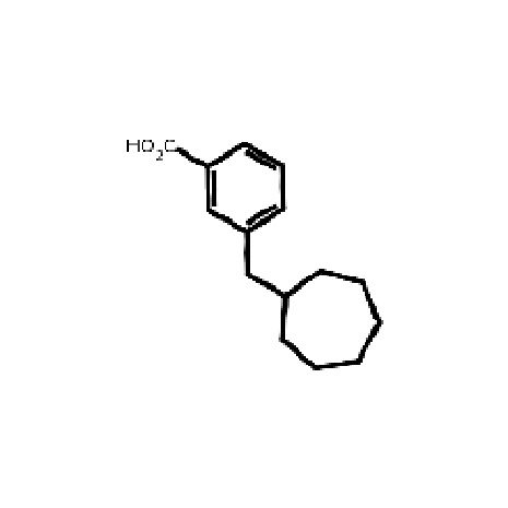 O=C(O)c1cccc(CC2CCCCCC2)c1